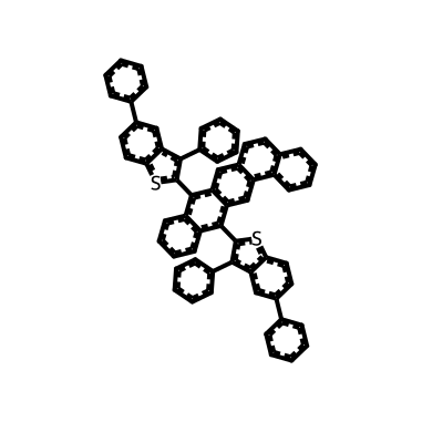 c1ccc(-c2ccc3sc(-c4c5ccccc5c(-c5sc6ccc(-c7ccccc7)cc6c5-c5ccccc5)c5cc6c(ccc7ccccc76)cc45)c(-c4ccccc4)c3c2)cc1